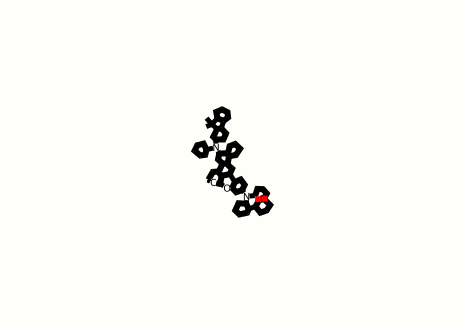 CC1(C)c2ccccc2-c2ccc(N(c3ccccc3)c3cc4c5cccc6c5c(cc4c4ccccc34)-c3ccc(N(c4ccccn4)c4ccccc4-c4ccccc4)cc3O6)cc21